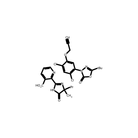 C#CCOc1cc(-n2nc(C(C)(C)C)oc2=O)c(Cl)cc1Cl.CC(C)C1(C)N=C(c2ncccc2C(=O)O)NC1=O